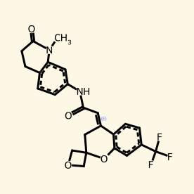 CN1C(=O)CCc2ccc(NC(=O)/C=C3\CC4(COC4)Oc4cc(C(F)(F)F)ccc43)cc21